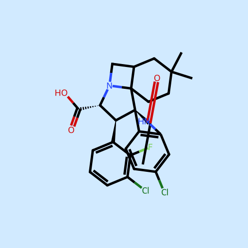 CC1(C)CCC23C(CN2[C@@H](C(=O)O)[C@H](c2cccc(Cl)c2F)[C@]32C(=O)Nc3cc(Cl)ccc32)C1